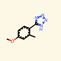 COc1ccc(-c2nnn[nH]2)c(C)c1